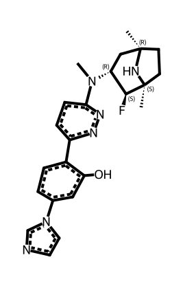 CN(c1ccc(-c2ccc(-n3ccnc3)cc2O)nn1)[C@@H]1C[C@@]2(C)CC[C@](C)(N2)[C@H]1F